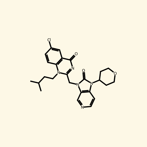 CC(C)CCn1c(Cn2c(=O)n(C3CCOCC3)c3ccncc32)nc(=O)c2cc(Cl)ccc21